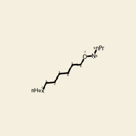 CCCCCCCCCCCCO[N]CCC